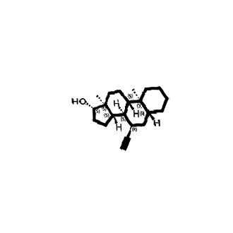 C#C[C@@H]1C[C@H]2CCCC[C@]2(C)[C@H]2CC[C@]3(C)[C@@H](O)CC[C@H]3[C@H]12